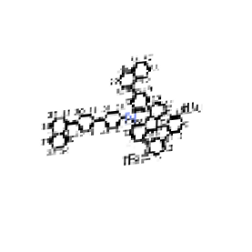 CC(C)(C)c1ccc2c(c1)C1(c3cc(C(C)(C)C)ccc3-2)c2ccccc2-c2c(N(c3ccc(-c4ccc(-c5cccc6ccccc56)cc4)cc3)c3cccc(C4CC=Cc5ccccc54)c3)cccc21